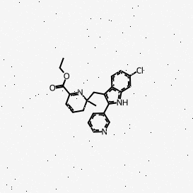 CCOC(=O)C1=NC(C)(Cc2c(-c3cccnc3)[nH]c3cc(Cl)ccc23)CC=C1